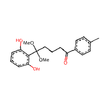 COC(CCCC(=O)c1ccc(C)cc1)(OC)c1c(O)cccc1O